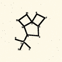 CS(C)(C)C1CC2CCC23CCC13